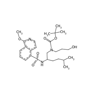 COc1nccc2c(S(=O)(=O)NC(CCC(C)C)CN(CCCO)C(=O)OC(C)(C)C)cccc12